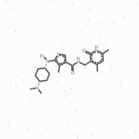 CCN(c1scc(C(=O)NCc2c(C)cc(C)[nH]c2=O)c1C)[C@H]1CC[C@@H](N(C)C)CC1